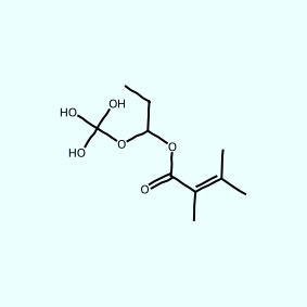 CCC(OC(=O)C(C)=C(C)C)OC(O)(O)O